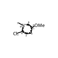 COc1ccc(Cl)[n+](C)c1